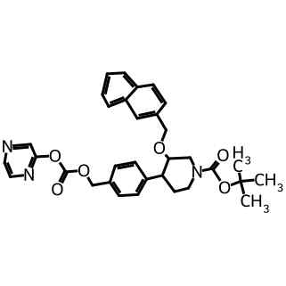 CC(C)(C)OC(=O)N1CCC(c2ccc(COC(=O)Oc3cnccn3)cc2)C(OCc2ccc3ccccc3c2)C1